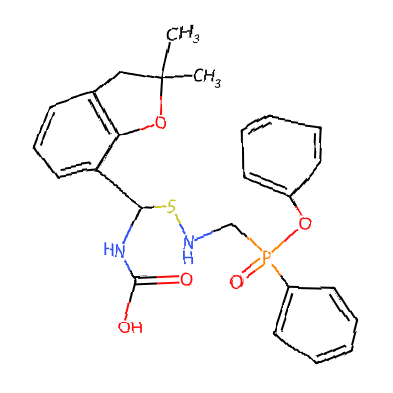 CC1(C)Cc2cccc(C(NC(=O)O)SNCP(=O)(Oc3ccccc3)c3ccccc3)c2O1